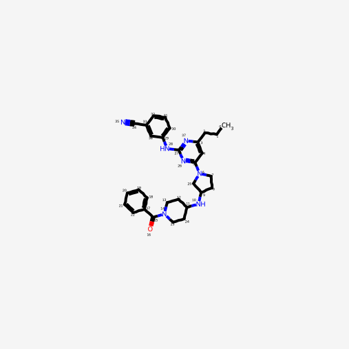 CCCc1cc(N2CCC(NC3CCN(C(=O)c4ccccc4)CC3)C2)nc(Nc2cccc(C#N)c2)n1